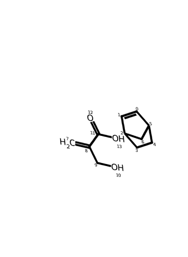 C1=CC2CCC1C2.C=C(CO)C(=O)O